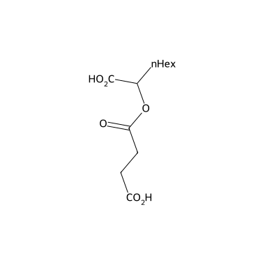 CCCCCCC(OC(=O)CCC(=O)O)C(=O)O